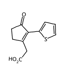 O=C(O)CC1=C(c2cccs2)C(=O)CC1